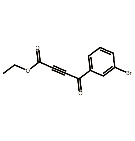 CCOC(=O)C#CC(=O)c1cccc(Br)c1